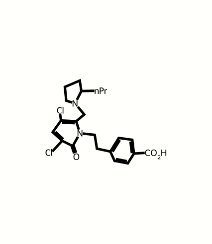 CCCC1CCCN1Cc1c(Cl)cc(Cl)c(=O)n1CCc1ccc(C(=O)O)cc1